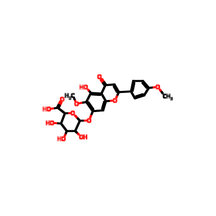 COc1ccc(-c2cc(=O)c3c(O)c(OC)c(OC4OC(C(=O)O)C(O)C(O)C4O)cc3o2)cc1